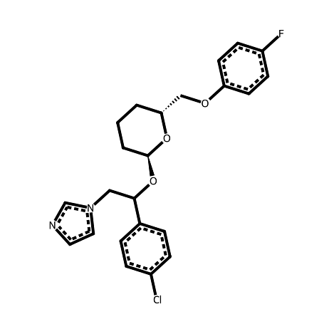 Fc1ccc(OC[C@H]2CCC[C@H](OC(Cn3ccnc3)c3ccc(Cl)cc3)O2)cc1